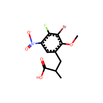 COc1c(CC(C)C(=O)O)cc([N+](=O)[O-])c(F)c1Br